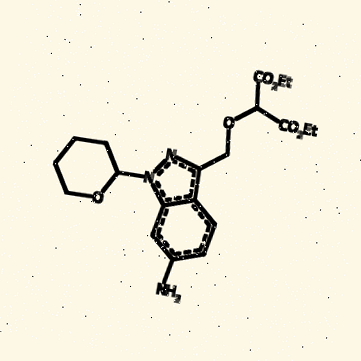 CCOC(=O)C(OCc1nn(C2CCCCO2)c2cc(N)ccc12)C(=O)OCC